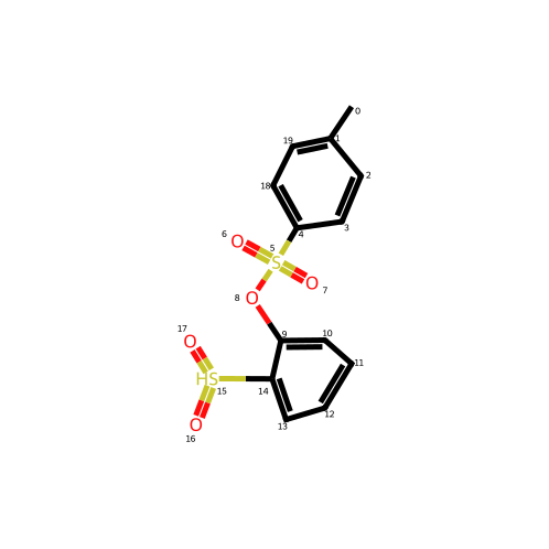 Cc1ccc(S(=O)(=O)Oc2ccccc2[SH](=O)=O)cc1